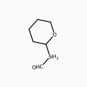 O=C[SiH2]C1CCCCO1